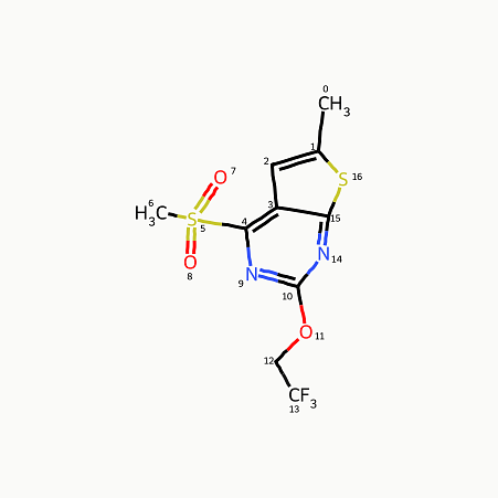 Cc1cc2c(S(C)(=O)=O)nc(OCC(F)(F)F)nc2s1